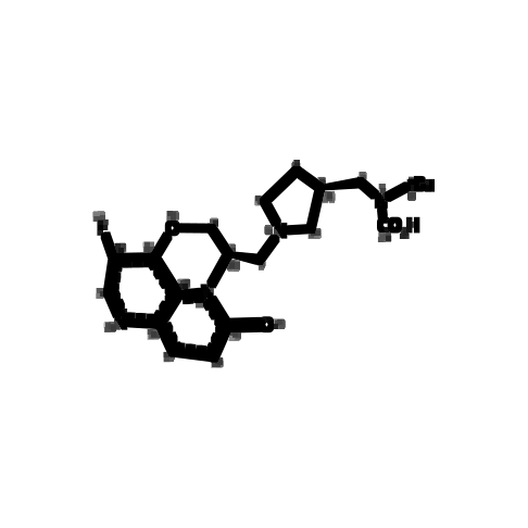 CC(C)(C)N(C[C@@H]1CCN(C[C@@H]2COc3c(F)cnc4ccc(=O)n2c34)C1)C(=O)O